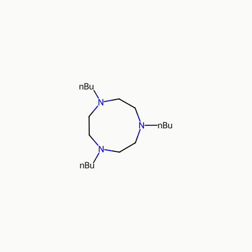 CCCCN1CCN(CCCC)CCN(CCCC)CC1